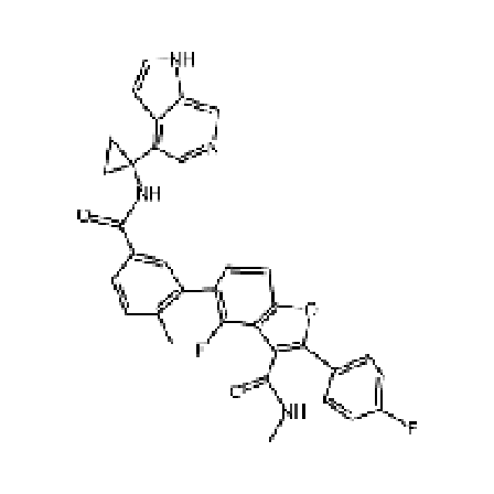 CNC(=O)c1c(-c2ccc(F)cc2)oc2ccc(-c3cc(C(=O)NC4(c5cncc6[nH]ccc56)CC4)ccc3C)c(F)c12